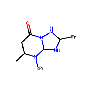 CCCN1C(C)CC(=O)N2NC(C(C)C)NC21